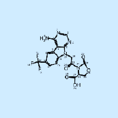 Nc1ncnc2c1c1cc(C(F)(F)F)ccc1n2CC(=O)N1C(=O)OC[C@H]1C(=O)O